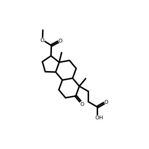 COC(=O)C1CCC2C3CCC(=O)C(C)(CCC(=O)O)C3CCC12C